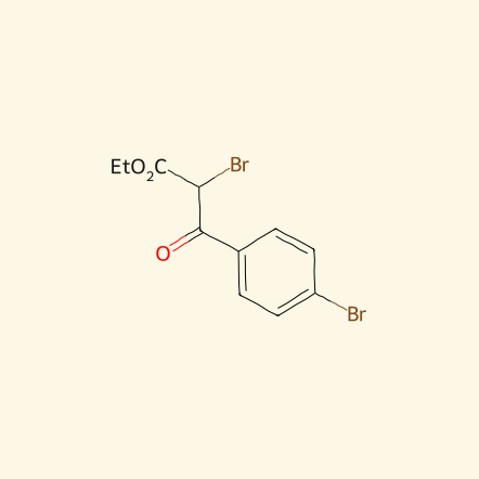 CCOC(=O)C(Br)C(=O)c1ccc(Br)cc1